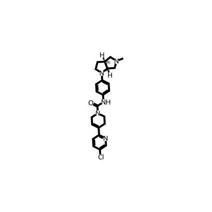 CN1C[C@H]2CCN(c3ccc(NC(=O)N4CC=C(c5ccc(Cl)cn5)CC4)cc3)[C@H]2C1